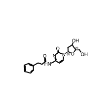 O=C(CCc1ccccc1)Nc1ccn([C@H]2CC(O)[C@@H](CO)O2)c(=O)n1